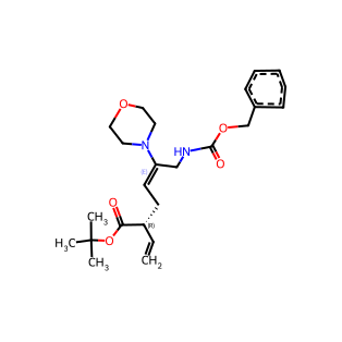 C=C[C@@H](C/C=C(\CNC(=O)OCc1ccccc1)N1CCOCC1)C(=O)OC(C)(C)C